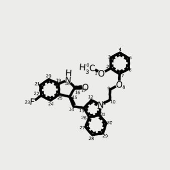 COc1ccccc1OCCn1cc(C=C2C(=O)Nc3ccc(F)cc32)c2ccccc21